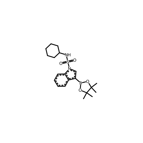 CC1(C)OB(c2cn(S(=O)(=O)NC3CCCCC3)c3ccccc23)OC1(C)C